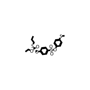 CCCSP(=O)(OCC)Oc1ccc(S(=O)(=O)Oc2ccc(SC)cc2)cc1